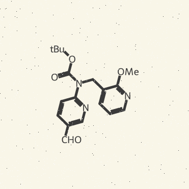 COc1ncccc1CN(C(=O)OC(C)(C)C)c1ccc(C=O)cn1